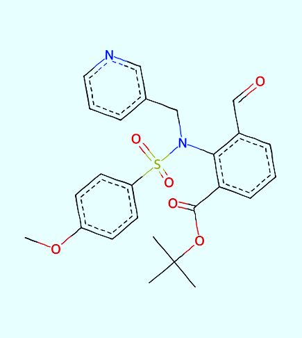 COc1ccc(S(=O)(=O)N(Cc2cccnc2)c2c(C=O)cccc2C(=O)OC(C)(C)C)cc1